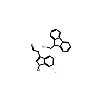 C=CCC1=C[CH]([Zr+2])c2ccccc21.CCC1c2ccccc2-c2ccccc21.[Cl-].[Cl-]